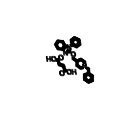 O=C(O)C=CC(=O)O.c1ccc(CN2CCC(COc3nc4c(n3-c3ccccc3)CCCC4)CC2)cc1